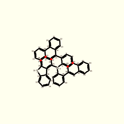 c1ccc(N(c2ccccc2-c2cc3ccccc3c3ccccc23)c2cccc3sc4ccccc4c23)c(-c2ccc3ccccc3c2)c1